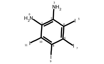 Nc1c(N)c(I)c(I)c(I)c1I